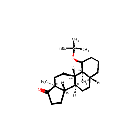 CCCC[Si](C)(C)OC1CCC[C@@H]2CC[C@@H]3[C@H](CC[C@]4(C)C(=O)CC[C@@H]34)[C@@]12C